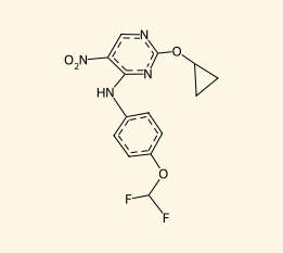 O=[N+]([O-])c1cnc(OC2CC2)nc1Nc1ccc(OC(F)F)cc1